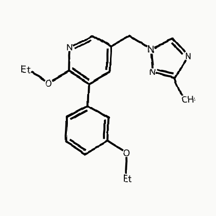 [CH]c1ncn(Cc2cnc(OCC)c(-c3cccc(OCC)c3)c2)n1